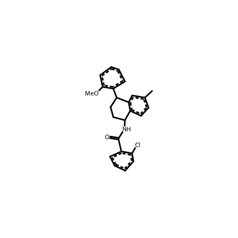 COc1ccccc1C1CCC(NC(=O)c2ccccc2Cl)c2ccc(C)cc21